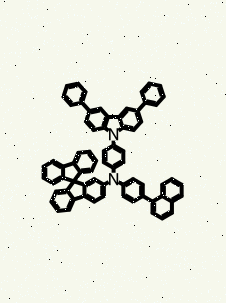 c1ccc(-c2ccc3c(c2)c2cc(-c4ccccc4)ccc2n3-c2ccc(N(c3ccc(-c4cccc5ccccc45)cc3)c3ccc4c(c3)C3(c5ccccc5-c5ccccc53)c3ccccc3-4)cc2)cc1